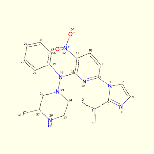 CC(C)c1nccn1-c1ccc([N+](=O)[O-])c(N(c2ccccc2)N2CCNC(F)C2)n1